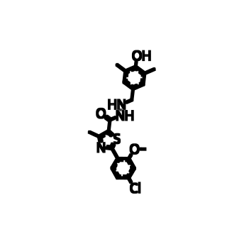 COc1cc(Cl)ccc1-c1nc(C)c(C(=O)NNCc2cc(C)c(O)c(C)c2)s1